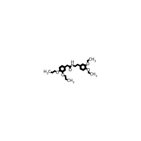 CCCOc1ccc(CC(=O)NCCc2ccc(OCC)c(OCC)c2)cc1OCCC